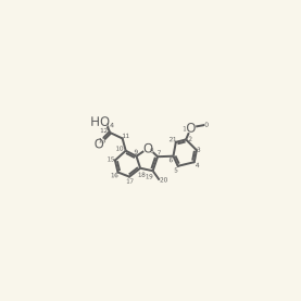 COc1cccc(-c2oc3c(CC(=O)O)cccc3c2C)c1